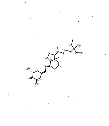 C=C1[C@H](O)CC(=C/C=C2\CCCC3(C)C2CCC3[C@@H](C)OCCC(O)(CC)CC)C[C@H]1O